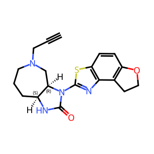 C#CCN1CCC[C@@H]2NC(=O)N(c3nc4c5c(ccc4s3)OCC5)[C@@H]2C1